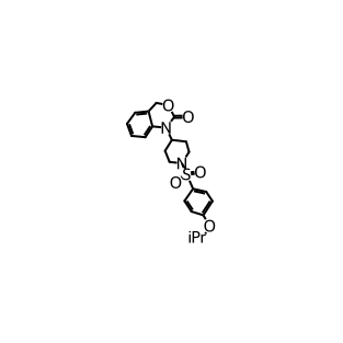 CC(C)Oc1ccc(S(=O)(=O)N2CCC(N3C(=O)OCc4ccccc43)CC2)cc1